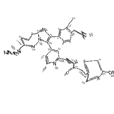 CNc1ccc2nc(-c3ccc(F)c(C)c3)c(-c3ccnc(NC(=O)c4ccc(OC)cc4)c3)n2n1